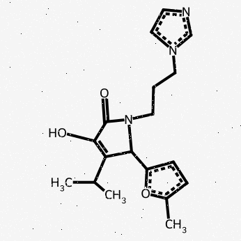 Cc1ccc(C2C(C(C)C)=C(O)C(=O)N2CCCn2ccnc2)o1